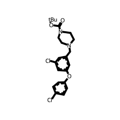 CC(C)(C)OC(=O)N1CCN(Cc2cc(Cl)cc(Oc3ccc(Cl)cc3)c2)CC1